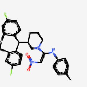 Cc1ccc(NC(=C[N+](=O)[O-])N2CCCC(C3c4ccc(F)cc4CCc4cc(F)ccc43)C2)cc1